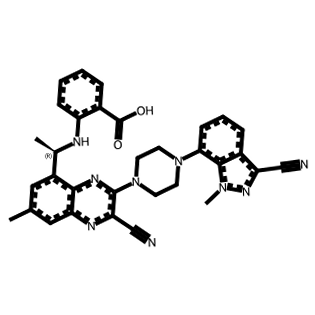 Cc1cc([C@@H](C)Nc2ccccc2C(=O)O)c2nc(N3CCN(c4cccc5c(C#N)nn(C)c45)CC3)c(C#N)nc2c1